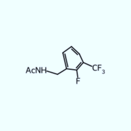 CC(=O)NCc1cccc(C(F)(F)F)c1F